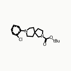 CC(C)(C)OC(=O)N1CCC2(CCN(c3ccccc3Cl)CC2)C1